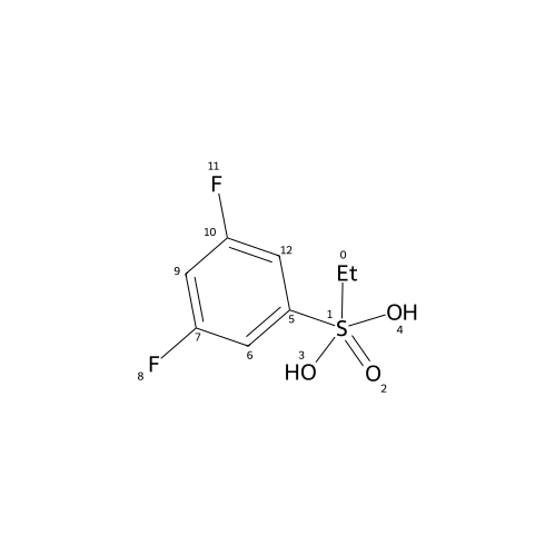 CCS(=O)(O)(O)c1cc(F)cc(F)c1